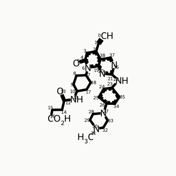 C#Cc1cc(=O)n(C2CCC(NC(=O)CCC(=O)O)CC2)c2nc(Nc3ccc(N4CCN(C)CC4)cc3)ncc12